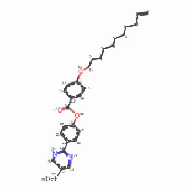 C=CCCCCCCCCCOc1ccc(C(=O)Oc2ccc(-c3ncc(CCCCCCCC)cn3)cc2)cc1